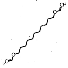 C=COCCCCCCCCCCCOC=C